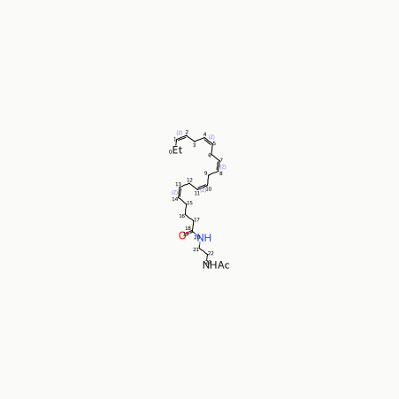 CC/C=C\C/C=C\C/C=C\C/C=C\C/C=C\CCCC(=O)NCCNC(C)=O